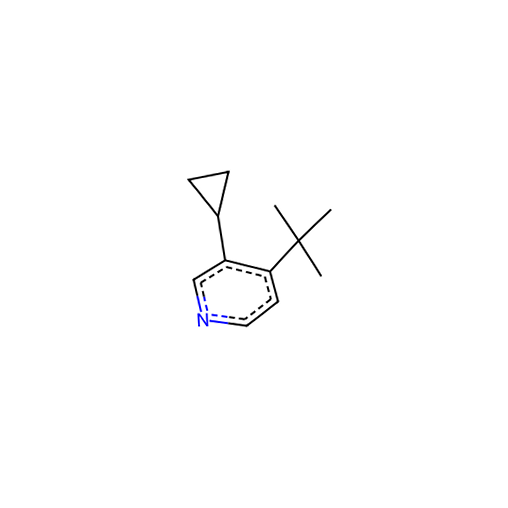 CC(C)(C)c1ccncc1C1CC1